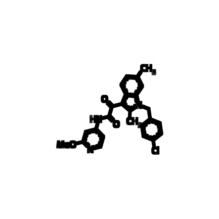 COc1cc(NC(=O)C(=O)c2c(C)n(Cc3ccc(Cl)cc3)c3cc(C)ccc23)ccn1